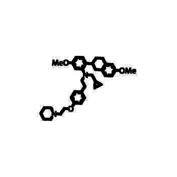 COc1ccc2c(c1)CCC(c1ccc(OC)cc1N(CCc1ccc(OCCN3CCCCC3)cc1)CC1CC1)C2